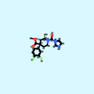 COC(=O)[C@@]1(c2ccc(F)c(F)c2)CCN(C(=O)n2ccnc2)[C@@H](C)C1